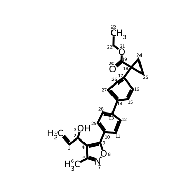 C=CC(O)c1c(C)noc1-c1ccc(-c2ccc(C3(C(=O)OCC)CC3)cc2)cc1